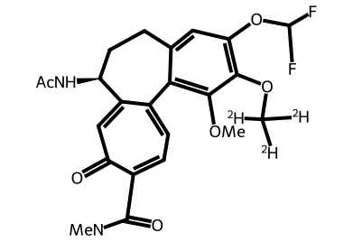 [2H]C([2H])([2H])Oc1c(OC(F)F)cc2c(c1OC)-c1ccc(C(=O)NC)c(=O)cc1[C@@H](NC(C)=O)CC2